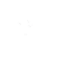 Cc1cc(O)c(/C=N/Nc2ccccn2)cc1C